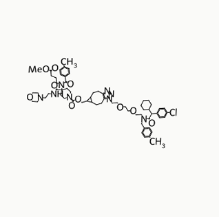 COC(=O)CCCN(C(=O)c1ccc(C)cc1)C1(C(=O)NCCN2CCOCC2)CCN(C(=O)OCC2C3CCc4nnn(CCOCCOCCN(Cc5ccc(C)cc5)C(=O)C(c5ccc(Cl)cc5)C5CCCCC5)c4CCC32)CC1